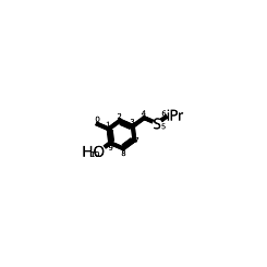 Cc1cc(CSC(C)C)ccc1O